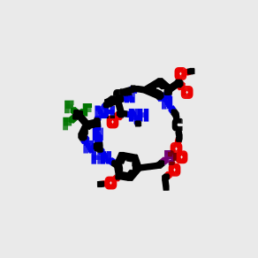 CCOP1(=O)Cc2ccc(c(OC)c2)Nc2ncc(C(F)(F)F)c(n2)Nc2ccc(nc2C(=O)NC)-c2cc(C(=O)OC)n(c2)CCCO1